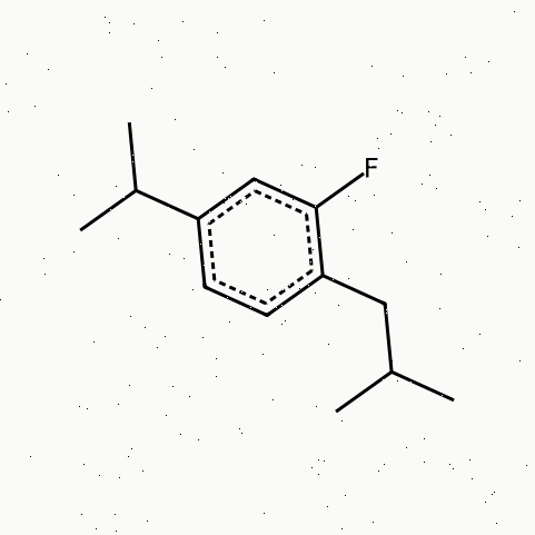 CC(C)Cc1ccc(C(C)C)cc1F